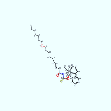 CCCCCCCOCCCCCCC=CCC(=O)N1C(=S)OC(c2ccccc2)(c2ccccc2)C1C(C)C